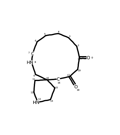 O=C1CCCCCCNCC2(CCNCC2)CC(=O)C1